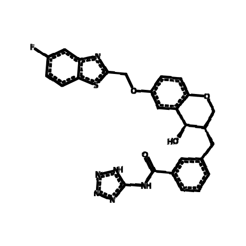 O=C(Nc1nnn[nH]1)c1cccc(C[C@@H]2COc3ccc(OCc4nc5cc(F)ccc5s4)cc3[C@@H]2O)c1